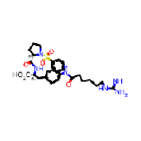 N=C(N)NCCCCCC(=O)Nc1ccc(C[C@H](NC(=O)[C@@H]2CCCN2S(=O)(=O)c2ccccc2)C(=O)O)cc1